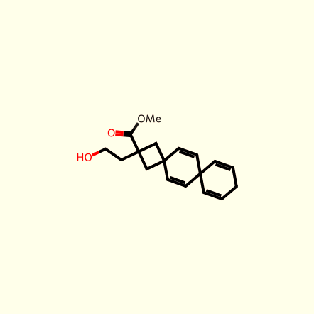 COC(=O)C1(CCO)CC2(C=CC3(C=CCC=C3)C=C2)C1